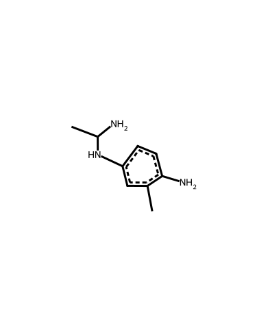 Cc1cc(NC(C)N)ccc1N